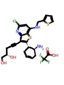 N[C@H]1CC=CC[C@@H]1c1sc2c(NCc3cccs3)cc(Cl)nc2c1C#CC[C@H](O)CO.O=C(O)C(F)(F)F